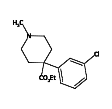 CCOC(=O)C1(c2cccc(Cl)c2)CCN(C)CC1